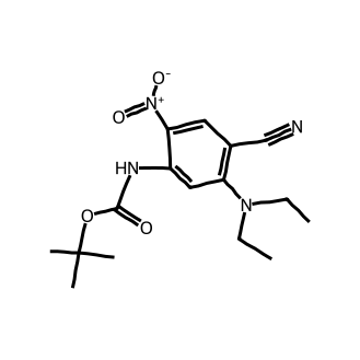 CCN(CC)c1cc(NC(=O)OC(C)(C)C)c([N+](=O)[O-])cc1C#N